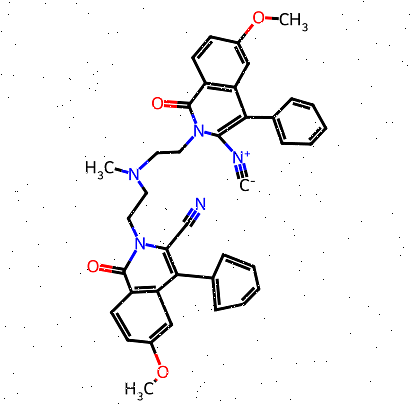 [C-]#[N+]c1c(-c2ccccc2)c2cc(OC)ccc2c(=O)n1CCN(C)CCn1c(C#N)c(-c2ccccc2)c2cc(OC)ccc2c1=O